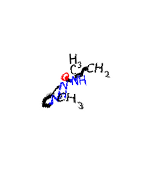 C=C/C=C(\C)NC(=O)NC[C@@H]1CCCN1C